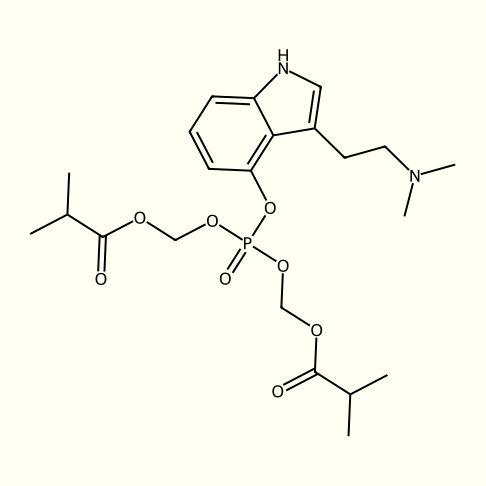 CC(C)C(=O)OCOP(=O)(OCOC(=O)C(C)C)Oc1cccc2[nH]cc(CCN(C)C)c12